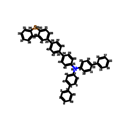 c1ccc(-c2ccc(N(c3ccc(-c4ccccc4)cc3)c3ccc(-c4ccc(-c5ccc6sc7ccccc7c6c5)cc4)cc3)cc2)cc1